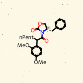 CCCCCC(C(=O)N1C(=O)OC[C@@H]1Cc1ccccc1)c1ccc(OC)cc1OC